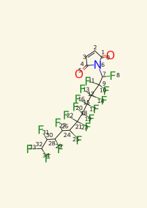 O=C1C=CC(=O)N1C(F)C(F)(F)C(F)(F)C(F)(F)C(F)(F)C(F)(F)C(F)C(F)C(F)C(F)C(F)F